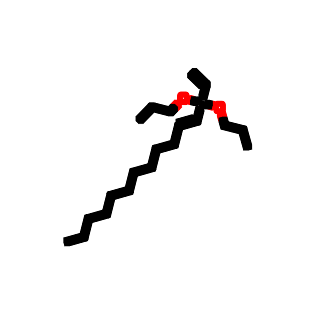 C=C[Si](C=CCCCCCCCCCC)(OCCC)OCCC